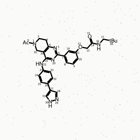 CC(=O)N1CCc2nc(-c3cccc(OCC(=O)NCC(C)(C)C)c3)nc(Nc3ccc(-c4cn[nH]c4)cc3)c2C1